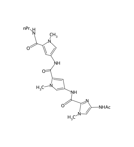 CCCNC(=O)c1cc(NC(=O)c2cc(NC(=O)c3nc(NC(C)=O)cn3C)cn2C)cn1C